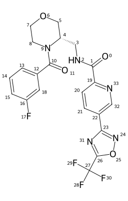 O=C(NC[C@H]1COCCN1C(=O)c1cccc(F)c1)c1ccc(-c2noc(C(F)(F)F)n2)cn1